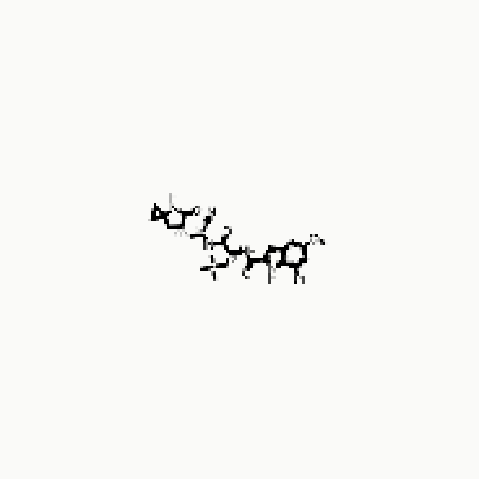 COc1cc(Cl)c2[nH]c(C(=O)N[C@@H](CS(C)(C)C)C(=O)N[C@H](C#N)C[C@@H]3CC4(CC4)NC3=O)cc2c1